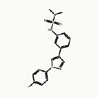 CN(C)S(=O)(=O)Nc1cccc(-c2cnn(-c3ccc(F)cc3)c2)c1